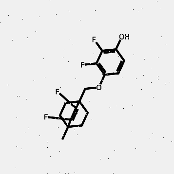 CC12CCC(COc3ccc(O)c(F)c3F)(CC1)C(F)=C2F